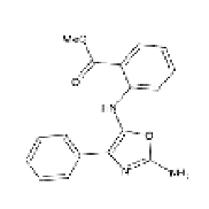 COC(=O)c1ccccc1Nc1oc(N)nc1-c1ccccc1